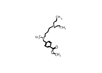 CCCN(CCC)CCCCN(C)Cc1ccc(C(=O)OC)cc1